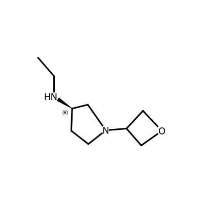 CCN[C@@H]1CCN(C2COC2)C1